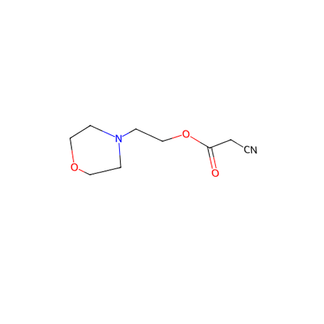 N#CCC(=O)OCCN1CCOCC1